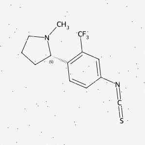 CN1CCC[C@H]1c1ccc(N=C=S)cc1C(F)(F)F